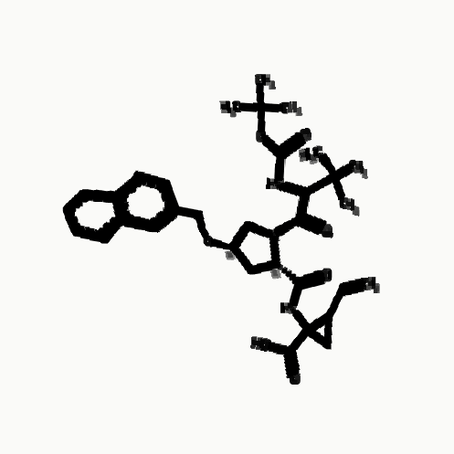 C=CC1CC1(NC(=O)[C@@H]1C[C@@H](OCc2ccc3ccccc3c2)CN1C(=O)C(NC(=O)OC(C)(C)C)C(C)(C)C)C(=O)O